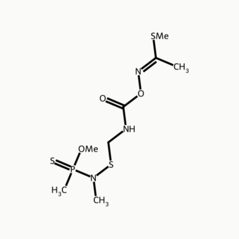 COP(C)(=S)N(C)SCNC(=O)O/N=C(\C)SC